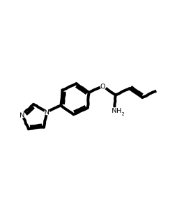 C/C=C/C(N)Oc1ccc(-n2ccnc2)cc1